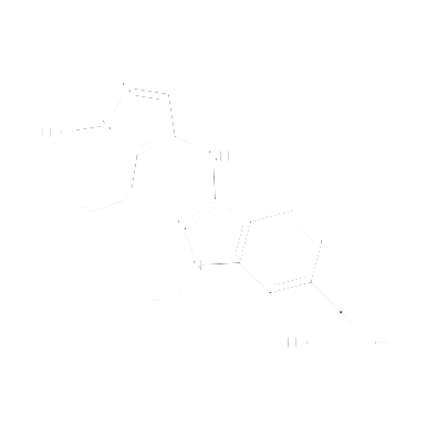 CCOc1c(Nc2nn(C)c3cc(C(C)(C)O)ccc23)cnn1C